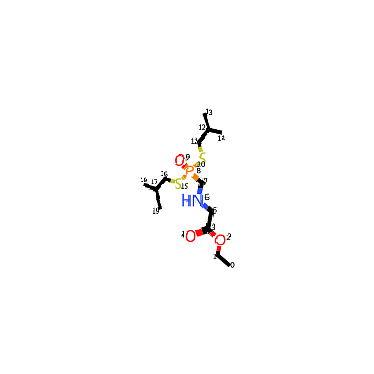 CCOC(=O)CNCP(=O)(SCC(C)C)SCC(C)C